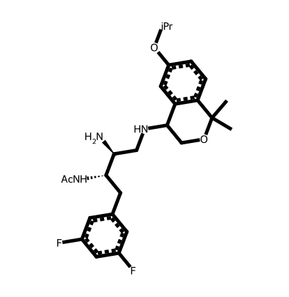 CC(=O)N[C@@H](Cc1cc(F)cc(F)c1)[C@@H](N)CNC1COC(C)(C)c2ccc(OC(C)C)cc21